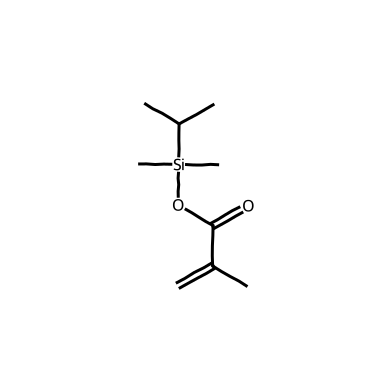 C=C(C)C(=O)O[Si](C)(C)C(C)C